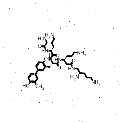 Cc1cc(-c2ccc(O)c(C[C@H](NC(=O)[C@H](CCCN)NC(=O)CN)C(=O)N[C@@H](CCCN)CC(=O)NC[C@@H](N)CCCN)c2)ccc1O